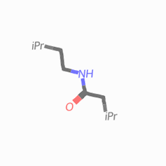 CC(C)CCNC(=O)CC(C)C